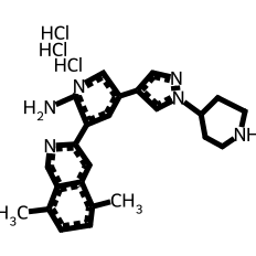 Cc1ccc(C)c2cc(-c3cc(-c4cnn(C5CCNCC5)c4)cnc3N)ncc12.Cl.Cl.Cl